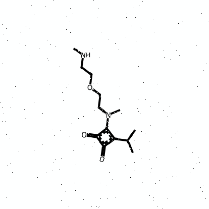 CNCCOCCN(C)c1c(C(C)C)c(=O)c1=O